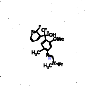 COc1cc(/N=C/N(C)C(C)C)c(C)cc1C(O)(c1cccnc1F)C(F)(F)F